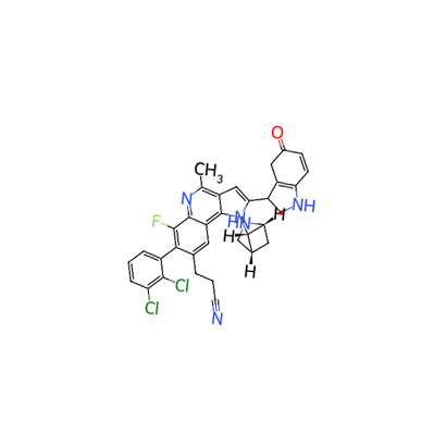 Cc1nc2c(F)c(-c3cccc(Cl)c3Cl)c(CCC#N)cc2c2c1cc(C1CNC3=C1CC(=O)C=C3)n2[C@H]1[C@H]2CN[C@@H]1C2